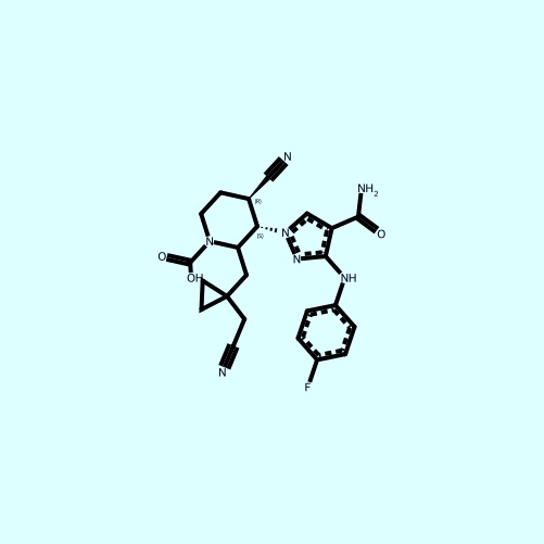 N#CCC1(CC2[C@@H](n3cc(C(N)=O)c(Nc4ccc(F)cc4)n3)[C@H](C#N)CCN2C(=O)O)CC1